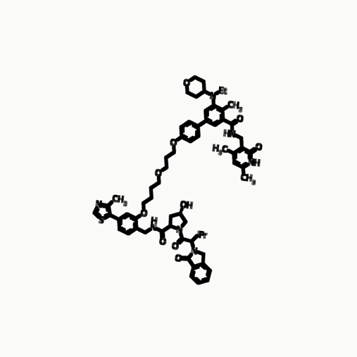 CCN(c1cc(-c2ccc(OCCCOCCCCOc3cc(-c4scnc4C)ccc3CNC(=O)C3C[C@@H](O)CN3C(=O)C(C(C)C)N3Cc4ccccc4C3=O)cc2)cc(C(=O)NCc2c(C)cc(C)[nH]c2=O)c1C)C1CCOCC1